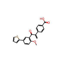 C=C(C(=O)c1cc(-c2cccs2)ccc1OC)c1ccc(C(=O)O)cc1